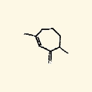 CC1=CC(=O)C(C)CCC1